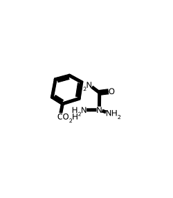 NC(=O)N(N)N.O=C(O)c1ccccc1